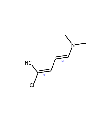 CN(C)/C=C/C=C(/Cl)C#N